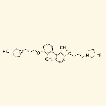 Cc1c(OCCCN2CCC(O)C2)cccc1-c1cccc(OCCCN2CCC(F)C2)c1C